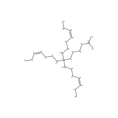 CC/C=C\CCO[Si](CCCCN(C)C)(OCC/C=C\CC)OCC/C=C\CC